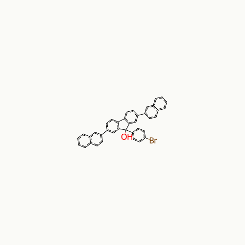 OC1(c2ccc(Br)cc2)c2cc(-c3ccc4ccccc4c3)ccc2-c2ccc(-c3ccc4ccccc4c3)cc21